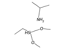 CC(C)N.CC[SiH](OC)OC